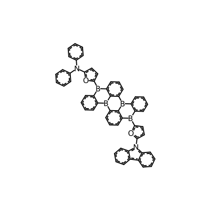 c1ccc(N(c2ccccc2)c2ccc(B3c4ccccc4B4c5cccc6c5B(c5ccccc5B6c5ccc(-n6c7ccccc7c7ccccc76)o5)c5cccc3c54)o2)cc1